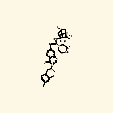 Cc1ccc(C[C@@H](C)n2cnc3cc(N=C(N[C@H]4C[C@@H]5C[C@@H]([C@H]4C)C5(C)C)N4CCN[C@@H](C)C4)ccc3c2=O)c(F)c1